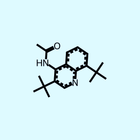 CC(=O)Nc1c(C(C)(C)C)cnc2c(C(C)(C)C)cccc12